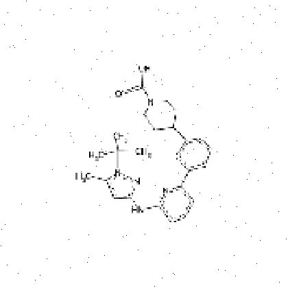 Cc1cc(Nc2cccc(-c3cccc(C4CCN(C(=O)O)CC4)c3)n2)nn1C(C)(C)C